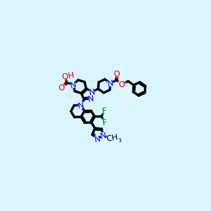 Cn1cc(-c2cc3c(cc2C(F)F)N(c2nn(C4CCN(C(=O)OCc5ccccc5)CC4)c4c2CN(C(=O)O)CC4)CCC3)cn1